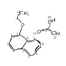 CCOc1cccc2ccccc12.O=C(O)O